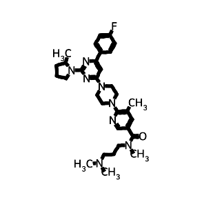 Cc1cc(C(=O)N(C)CCCN(C)C)cnc1N1CCN(c2cc(-c3ccc(F)cc3)nc(N3CCCC3C)n2)CC1